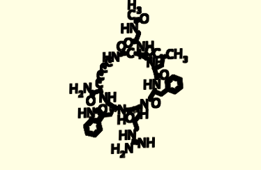 CC(=O)NCC(=O)NC1CC(=O)NCCCCC(C(N)=O)NC(=O)[C@H](Cc2c[nH]c3ccccc23)NC(=O)[C@H](CCCNC(=N)N)NC(=O)C(Cc2ccccc2)NC(=O)C(CC(C)C)NC1=O